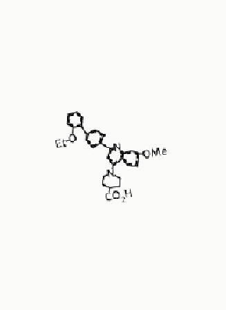 CCOc1ccccc1-c1ccc(-c2cc(N3CCC(C(=O)O)CC3)c3ccc(OC)cc3n2)cc1